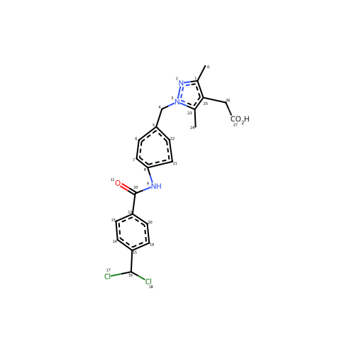 Cc1nn(Cc2ccc(NC(=O)c3ccc(C(Cl)Cl)cc3)cc2)c(C)c1CC(=O)O